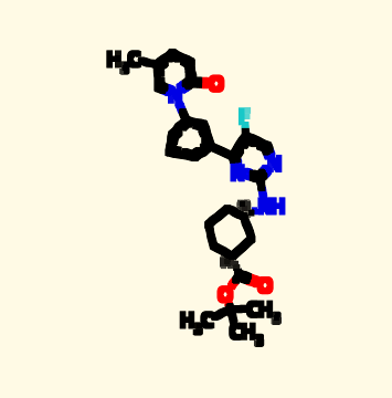 Cc1ccc(=O)n(-c2cccc(-c3nc(N[C@H]4CCC[C@@H](C(=O)OC(C)(C)C)C4)ncc3F)c2)c1